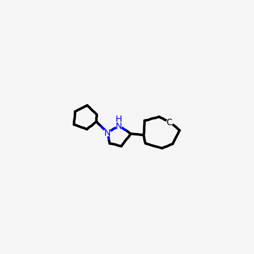 C1CCCC(C2CCN(C3CCCCC3)N2)CCC1